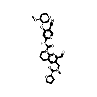 CO[C@H]1CCOC[C@@H]1Oc1cc(NC(=O)N2CCCc3cc(CN(C)C(=O)[C@H]4CCCO4)c(C=O)nc32)ncc1C#N